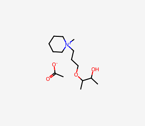 CC(=O)[O-].CC(O)C(C)OCCC[N+]1(C)CCCCC1